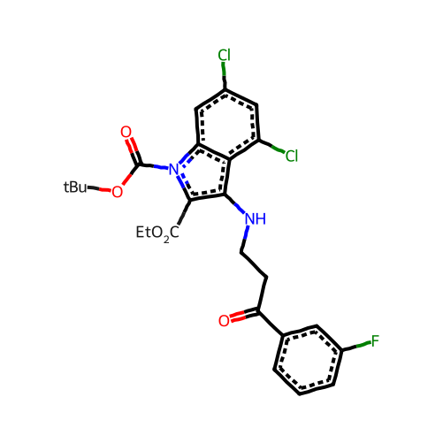 CCOC(=O)c1c(NCCC(=O)c2cccc(F)c2)c2c(Cl)cc(Cl)cc2n1C(=O)OC(C)(C)C